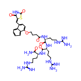 N=C(N)NCCC[C@H](NC(=O)[C@H](CCCNC(=N)N)NC(=O)[C@H](CCCNC(=N)N)NC(=O)CCCOc1ccc(/C=C2\SC(=O)NC2=O)c2ccccc12)C(N)=O